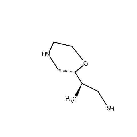 C[C@H](CS)[C@@H]1CNCCO1